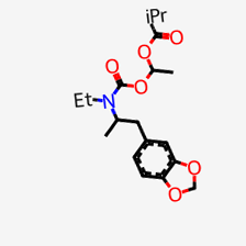 CCN(C(=O)OC(C)OC(=O)C(C)C)C(C)Cc1ccc2c(c1)OCO2